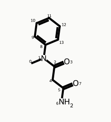 CN(C(=O)CC(N)=O)c1ccccc1